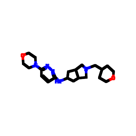 c1cc(N2CCOCC2)nnc1NC1CC2CN(CC3CCOCC3)CC2C1